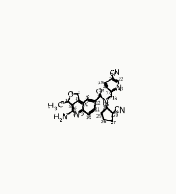 CC1OCc2c1c(N)nc1ccc(C(=O)N(Cc3ccc(C#N)cn3)C3CCCC3C#N)cc21